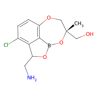 C[C@]1(CO)COc2ccc(Cl)c3c2B(OC3CN)O1